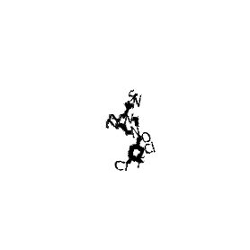 O=C(c1ccc(Cl)c(F)c1Cl)N1CCn2c(nnc2-c2cscn2)C1